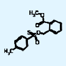 COC(=O)c1ccccc1COS(=O)(=S)c1ccc(C)cc1